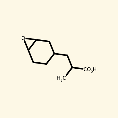 CC(CC1CCC2OC2C1)C(=O)O